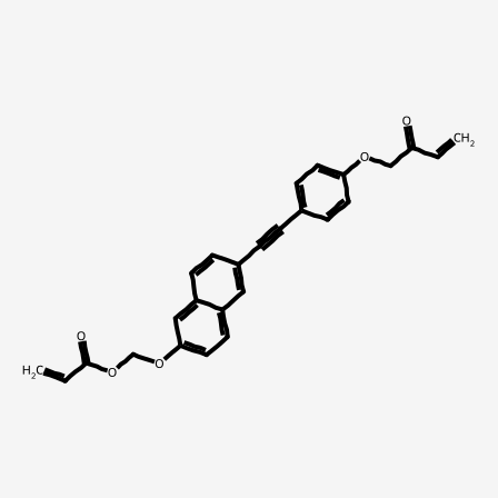 C=CC(=O)COc1ccc(C#Cc2ccc3cc(OCOC(=O)C=C)ccc3c2)cc1